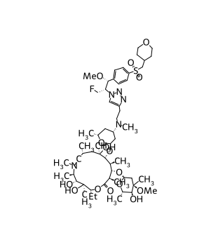 CC[C@H]1OC(=O)[C@H](C)[C@@H](O[C@H]2C[C@@](C)(OC)[C@@H](O)[C@H](C)O2)[C@H](C)[C@@H](O[C@H]2C[C@@H](N(C)CCc3cn([C@H](CF)[C@H](OC)c4ccc(S(=O)(=O)CC5CCOCC5)cc4)nn3)C[C@@H](C)O2)[C@](C)(O)C[C@@H](C)CN(C)[C@H](C)[C@@H](O)[C@]1(C)O